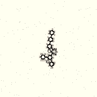 c1ccc(-c2ccc(-c3ccc4oc5c(-c6cc(-c7ccccc7)c7oc8ccccc8c7c6)ncnc5c4c3)cc2)cc1